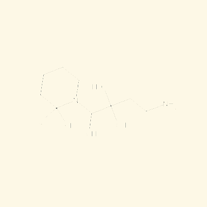 CC(N1CCCCC1(C)C)C(C)(C)CCN